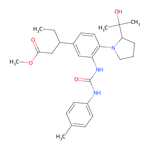 CCC(CC(=O)OC)c1ccc(N2CCCC2C(C)(C)O)c(NC(=O)Nc2ccc(C)cc2)c1